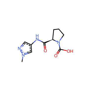 Cn1cc(NC(=O)[C@H]2CCCN2C(=O)O)cn1